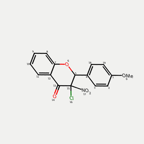 COc1ccc(C2Oc3ccccc3C(=O)C2(Cl)[N+](=O)[O-])cc1